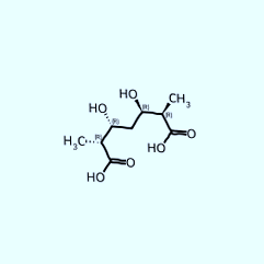 C[C@@H](C(=O)O)[C@H](O)C[C@@H](O)[C@@H](C)C(=O)O